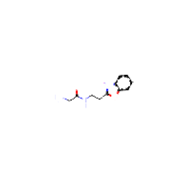 NCC(=O)NCCc1oc2ccccc2[n+]1[O-]